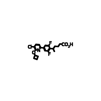 CC(CCCC(=O)O)c1c(F)cc(-c2ccc(Cl)c(OC3CCC3)n2)cc1F